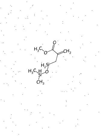 C=C(C[SiH2]O[SiH](C)C)C(=O)OC